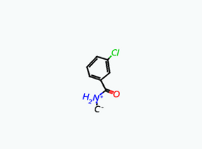 [CH2-][NH2+]C(=O)c1cccc(Cl)c1